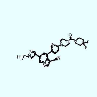 Cn1cc(-c2cc(-c3ccc(N4CCN(C(=O)N5CCC(F)(F)CC5)CC4)nc3)c3c(C#N)cnn3c2)cn1